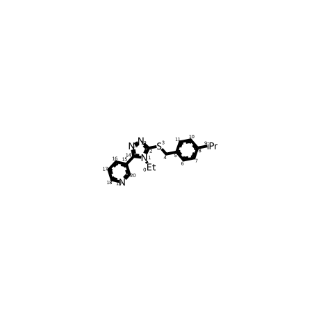 CCn1c(SCc2ccc(C(C)C)cc2)nnc1-c1cccnc1